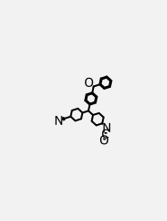 N#CC1CCC(C(c2ccc(C(=O)c3ccccc3)cc2)C2CCC(N=C=O)CC2)CC1